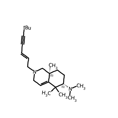 CN(C)[C@H]1CC[C@]2(C)CN(CC=CC#CC(C)(C)C)CC=C2C1(C)C